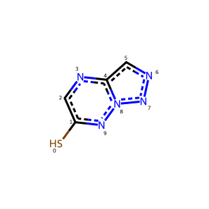 Sc1cnc2cnnn2n1